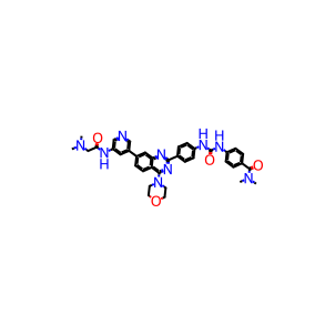 CN(C)CC(=O)Nc1cncc(-c2ccc3c(N4CCOCC4)nc(-c4ccc(NC(=O)Nc5ccc(C(=O)N(C)C)cc5)cc4)nc3c2)c1